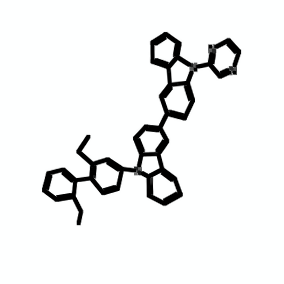 CCc1ccccc1-c1ccc(-n2c3ccccc3c3cc(-c4ccc5c(c4)c4ccccc4n5-c4cnccn4)ccc32)cc1CC